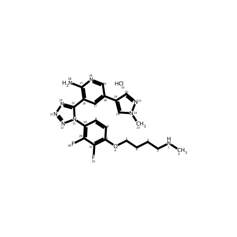 CNCCCCOc1ccc(-n2nnnc2-c2cc(-c3cnn(C)c3)cnc2N)c(F)c1F.Cl